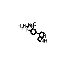 Nc1nc2ccc(-c3ccnc4[nH]ccc34)cc2[n+]([O-])n1